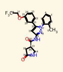 Cc1ccccc1-n1nc(NC(=O)[C@H]2CNC(=O)C2)cc1-c1cccc(OCC(F)(F)F)c1